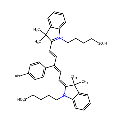 CCCc1ccc(C(=C\C=C2\N(CCCCS(=O)(=O)O)c3ccccc3C2(C)C)/C=C/C2=[N+](CCCCS(=O)(=O)O)c3ccccc3C2(C)C)cc1